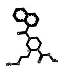 CCCOCC[C@H]1CN(C(=O)c2cccc3ccccc23)CCN1C(=O)OC(C)(C)C